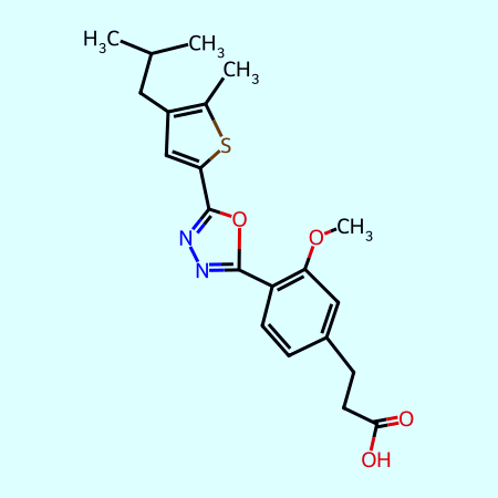 COc1cc(CCC(=O)O)ccc1-c1nnc(-c2cc(CC(C)C)c(C)s2)o1